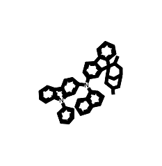 CC1CC2CC(C)C3(c4ccccc4-c4ccc(N(c5ccc6c7ccccc7n(-c7ccccc7)c6c5)c5cccc6ccccc56)cc43)C(C1)C2